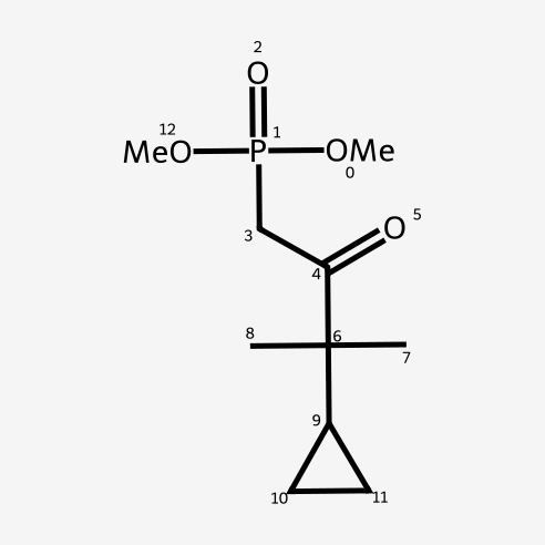 COP(=O)(CC(=O)C(C)(C)C1CC1)OC